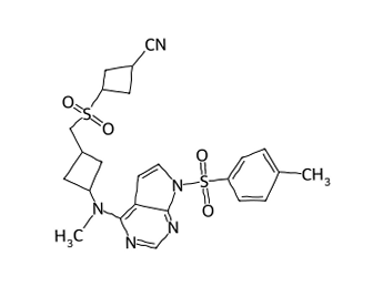 Cc1ccc(S(=O)(=O)n2ccc3c(N(C)C4CC(CS(=O)(=O)C5CC(C#N)C5)C4)ncnc32)cc1